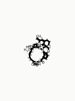 C=C1/C(=C\C(Cl)=C/C)CCC[C@]12COc1ccc3cc1N(C[C@@H]1CC[C@H]1[C@@](C)(O)/C=C/CC[C@H](C)S(=O)(=O)NC3=O)C2